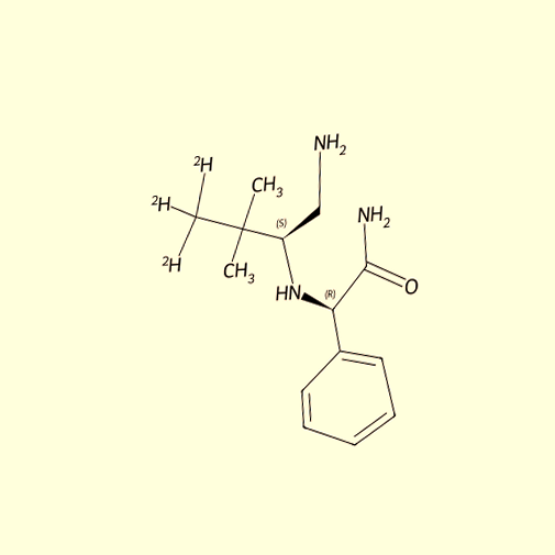 [2H]C([2H])([2H])C(C)(C)[C@@H](CN)N[C@@H](C(N)=O)c1ccccc1